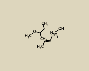 CC=CC.CCC(C)OC.CO